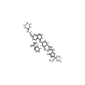 CC(C)(C)c1cc(NC(=O)Nc2ccc(Oc3ccnc4cc(OCCN5CCCCC5)ccc34)cc2Cl)[nH]n1.NC(=O)c1ccccn1